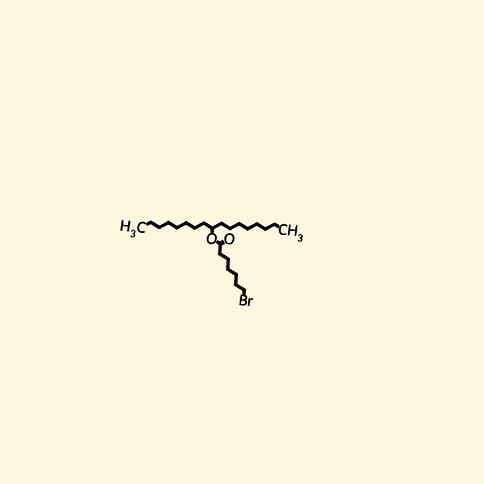 CCCCCCCCC(CCCCCCCC)OC(=O)CCCCCCBr